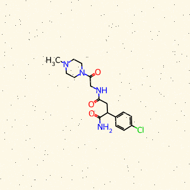 CN1CCN(C(=O)CNC(=O)CC(C(N)=O)c2ccc(Cl)cc2)CC1